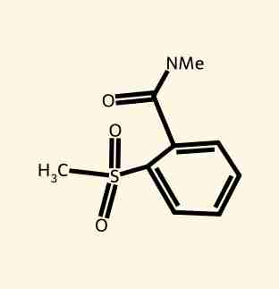 CNC(=O)c1ccccc1S(C)(=O)=O